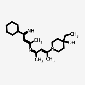 CCC1(O)CCN(/C(C)=C/C(C)=N\C(C)=C\C(=N)C2CCCCC2)CC1